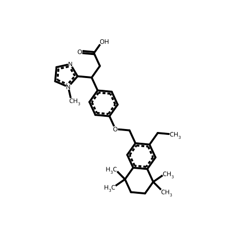 CCc1cc2c(cc1COc1ccc(C(CC(=O)O)c3nccn3C)cc1)C(C)(C)CCC2(C)C